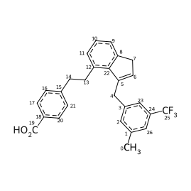 Cc1cc(CC2=CCc3cccc(CCc4ccc(C(=O)O)cc4)c32)cc(C(F)(F)F)c1